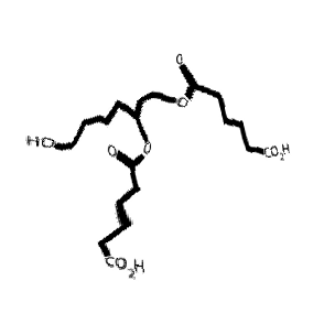 O=C(O)CCCCC(=O)OCC(CCCCO)OC(=O)CCCCC(=O)O